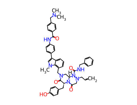 C=CCN1CC(=O)N2[C@@H](Cc3ccc(O)cc3)C(=O)N(Cc3cccc4c(-c5ccc(NC(=O)c6ccc(CN(C)C)cc6)cc5)cn(C)c34)C[C@@H]2N1C(=O)NCc1ccccc1